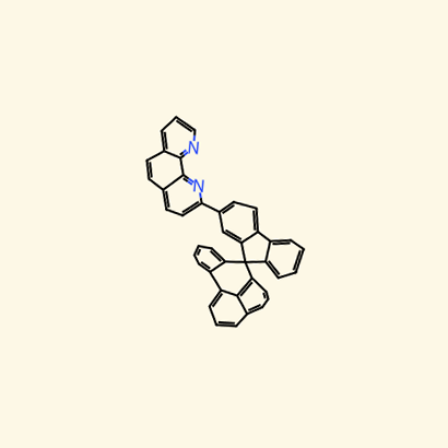 c1ccc2c(c1)-c1ccc(-c3ccc4ccc5cccnc5c4n3)cc1C21c2ccccc2-c2cccc3cccc1c23